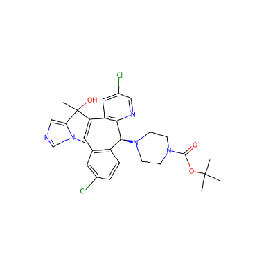 Cn1cncc1C(C)(O)C1=Cc2cc(Cl)ccc2[C@H](N2CCN(C(=O)OC(C)(C)C)CC2)c2ncc(Cl)cc21